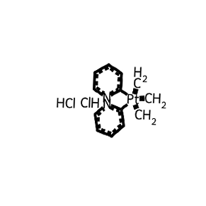 Cl.Cl.[CH2]=[Pt](=[CH2])(=[CH2])([c]1ccccn1)[c]1ccccn1